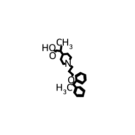 CCC(C(=O)O)C1CCN(CCCOC(C)(c2ccccc2)c2ccccc2)CC1